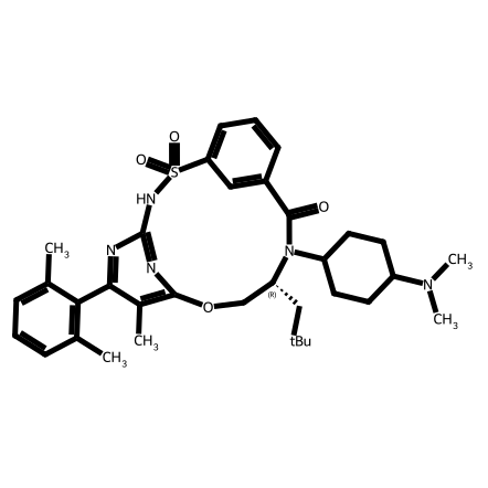 Cc1cccc(C)c1-c1nc2nc(c1C)OC[C@@H](CC(C)(C)C)N(C1CCC(N(C)C)CC1)C(=O)c1cccc(c1)S(=O)(=O)N2